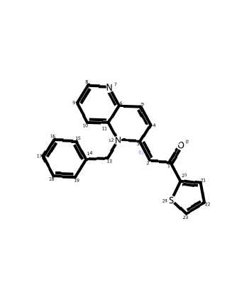 O=C(/C=C1\C=Cc2ncccc2N1Cc1ccccc1)c1cccs1